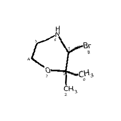 CC1(C)OCCNC1Br